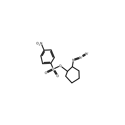 [N-]=[N+]=NC1CCCCC1OS(=O)(=O)c1ccc([N+](=O)[O-])cc1